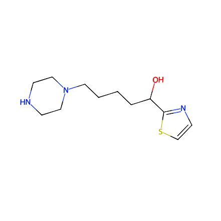 OC(CCCCN1CCNCC1)c1nccs1